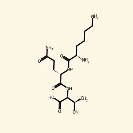 C[C@@H](O)[C@H](NC(=O)[C@H](CCC(N)=O)NC(=O)[C@@H](N)CCCCN)C(=O)O